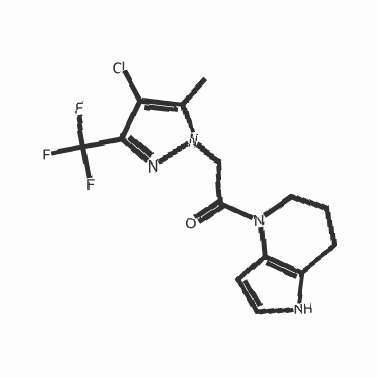 Cc1c(Cl)c(C(F)(F)F)nn1CC(=O)N1CCCc2[nH]ccc21